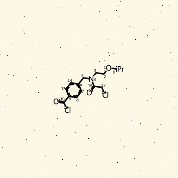 CC(C)OCCN(Cc1ccc(C(=O)Cl)cc1)C(=O)CCl